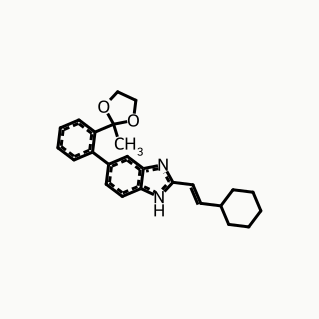 CC1(c2ccccc2-c2ccc3[nH]c(/C=C/C4CCCCC4)nc3c2)OCCO1